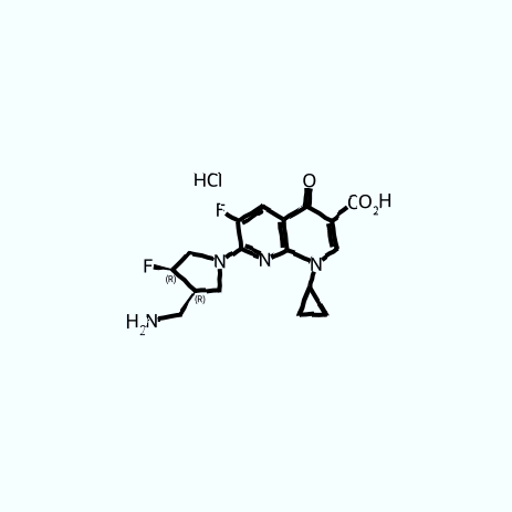 Cl.NC[C@@H]1CN(c2nc3c(cc2F)c(=O)c(C(=O)O)cn3C2CC2)C[C@@H]1F